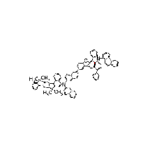 CC1(C)c2ccccc2-c2cc3c(cc21)-c1c(cc(N(c2ccc4ccccc4c2)c2ccc4cc(-c5ccc6oc7c(-c8ccccc8N(c8ccc(-c9ccccc9)cc8)c8cccc9c8ccc8ccccc89)cccc7c6c5)ccc4c2)c2ccccc12)C3(C)C